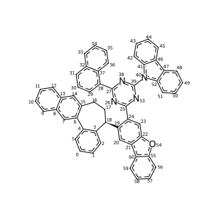 c1ccc2c(c1)-c1cc3ccccc3cc1CC[C@H]2c1cc2c(cc1-c1nc(-c3cccc4ccccc34)nc(-n3c4ccccc4c4ccccc43)n1)oc1ccccc12